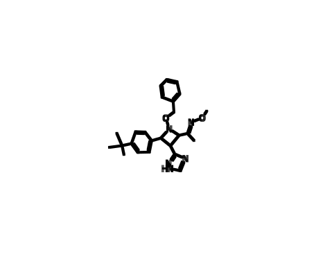 CON=C(C)C1C(c2nc[nH]n2)C(c2ccc(C(C)(C)C)cc2)N1OCc1ccccc1